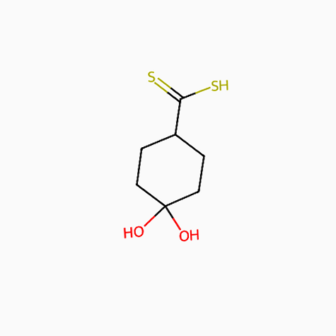 OC1(O)CCC(C(=S)S)CC1